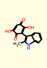 Cc1[nH]c2ccccc2c1C1=C(O)C(=O)C=C(O)C1=O